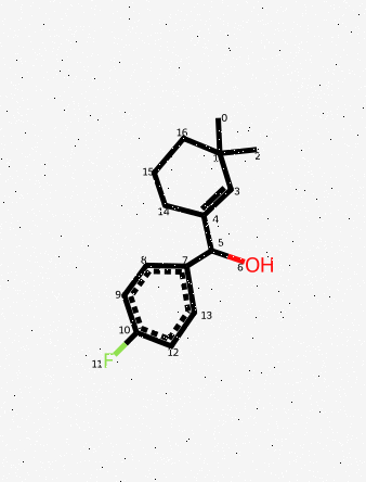 CC1(C)C=C(C(O)c2ccc(F)cc2)CCC1